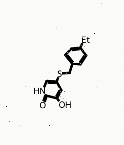 CCc1ccc(CSc2c[nH]c(=O)c(O)c2)cc1